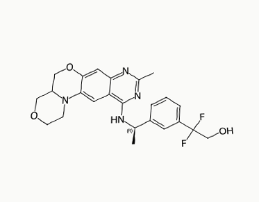 Cc1nc(N[C@H](C)c2cccc(C(F)(F)CO)c2)c2cc3c(cc2n1)OCC1COCCN31